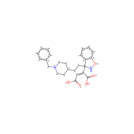 O=C(O)C=C(C(=O)O)C1(CCC2CCN(Cc3ccccc3)CC2)NOc2ccccc21